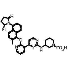 CCC1CCC(=O)N1c1cccc2c(Oc3ncccc3-c3ccnc(NC4CCCN(C(=O)O)C4)n3)c(C)ccc12